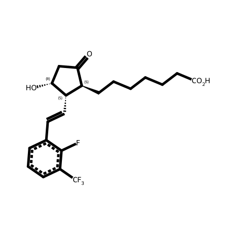 O=C(O)CCCCCC[C@@H]1C(=O)C[C@@H](O)[C@H]1C=Cc1cccc(C(F)(F)F)c1F